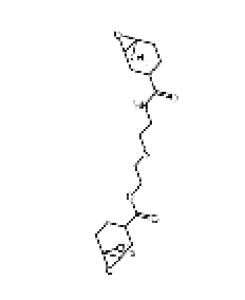 CC12CCC(C(=O)NCCSCCOC(=O)C3CCC4(C)OC4C3)CC1O2